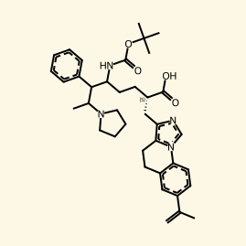 C=C(C)c1ccc2c(c1)CCc1c(C[C@H](CCC(NC(=O)OC(C)(C)C)C(c3ccccc3)C(C)N3CCCC3)C(=O)O)ncn1-2